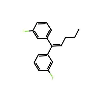 CCCC=C(c1cccc(F)c1)c1cccc(F)c1